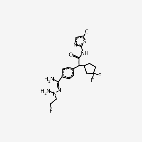 N/C(=N\N(N)CCF)c1ccc(C(C(=O)Nc2ncc(Cl)s2)C2CCC(F)(F)C2)cc1